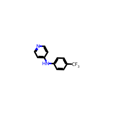 FC(F)(F)c1ccc(Nc2ccncc2)cc1